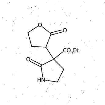 CCOC(=O)C1(C2CCOC2=O)CCNC1=O